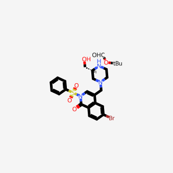 CC(C)(C)OC=O.O=c1c2ccc(Br)cc2c(CN2CCN[C@@H](CO)C2)cn1S(=O)(=O)c1ccccc1